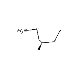 CC[C@@H](C)[CH]N